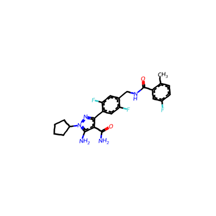 Cc1ccc(F)cc1C(=O)NCc1cc(F)c(-c2nn(C3CCCC3)c(N)c2C(N)=O)cc1F